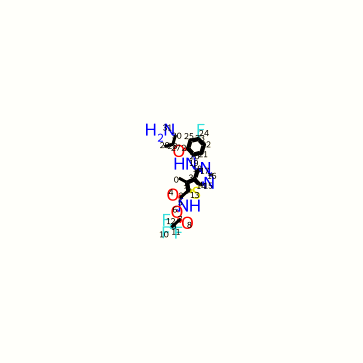 Cc1c(C(=O)NOC(=O)C(F)(F)F)sc2ncnc(Nc3ccc(F)cc3OC(C)CN)c12